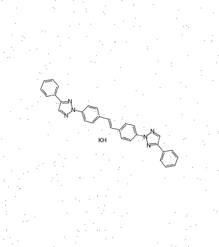 C(=Cc1ccc(-n2ncc(-c3ccccc3)n2)cc1)c1ccc(-n2ncc(-c3ccccc3)n2)cc1.[KH]